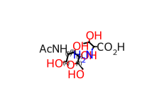 CC(=O)N[C@@H]1[C@@H](O)[C@H](O)[C@@H](CO)O[C@H]1O.CC(O)C(N)C(=O)O